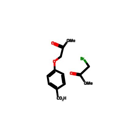 COC(=O)CBr.COC(=O)COc1ccc(C(=O)O)cc1